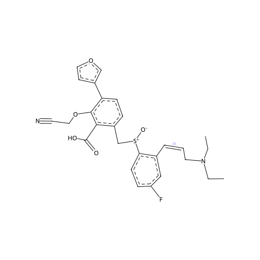 CCN(CC)C/C=C\c1cc(F)ccc1[S+]([O-])Cc1ccc(-c2ccoc2)c(OCC#N)c1C(=O)O